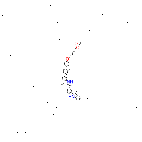 C=CC(=O)OCCCCCCOC1CCC(c2ccc(-c3ccc(CCC)c(N/C(C)=C(\C)c4cccc(-c5[nH]c6ccccc6c5C)c4)c3)cc2C)CC1